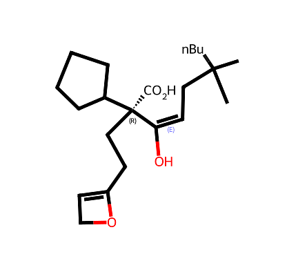 CCCCC(C)(C)C/C=C(/O)[C@](CCC1=CCO1)(C(=O)O)C1CCCC1